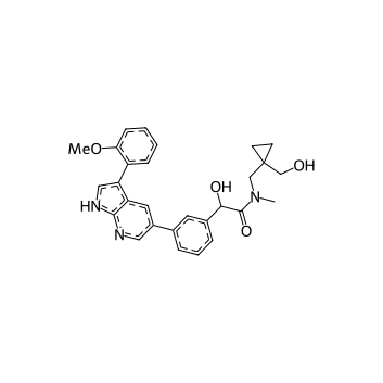 COc1ccccc1-c1c[nH]c2ncc(-c3cccc(C(O)C(=O)N(C)CC4(CO)CC4)c3)cc12